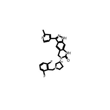 Cc1cc(-c2n[nH]c3cc4c(cc23)CN([C@@H]2CCN(Cc3c(F)cccc3F)C2)C(=O)N4)ccn1